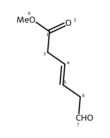 COC(=O)CC=CCC=O